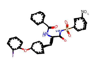 O=C(NS(=O)(=O)c1cccc([N+](=O)[O-])c1)/C(=C/c1ccc(Oc2ccccc2I)cc1)NC(=O)c1ccccc1